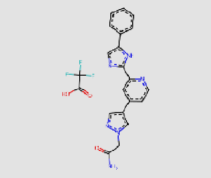 NC(=O)Cn1cc(-c2ccnc(-c3ncc(-c4ccccc4)[nH]3)c2)cn1.O=C(O)C(F)(F)F